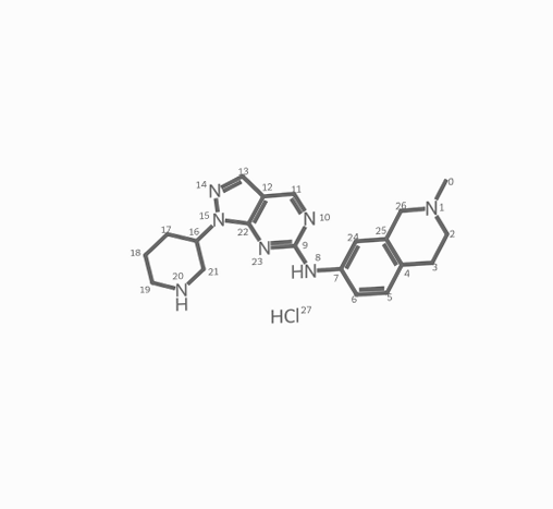 CN1CCc2ccc(Nc3ncc4cnn(C5CCCNC5)c4n3)cc2C1.Cl